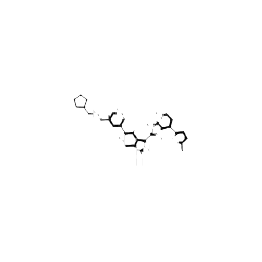 Cc1ccc(-c2ccnc3[nH]c(-c4n[nH]c5cnc(-c6cncc(CNCC7CCCC7)c6)c(F)c45)nc23)s1